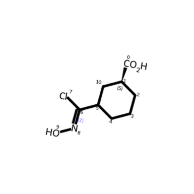 O=C(O)[C@H]1CCCC(/C(Cl)=N/O)C1